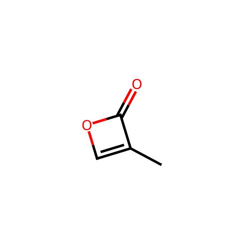 CC1=COC1=O